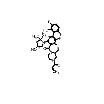 C=CC(=O)N1CCN2C(=O)c3c(N4C[C@@H](O)CC4(C)C)nc(-c4c(F)ccc(F)c4O)c(F)c3OCC2C1